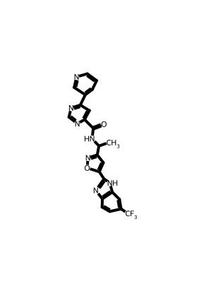 CC(NC(=O)c1cc(-c2cccnc2)ncn1)c1cc(-c2nc3ccc(C(F)(F)F)cc3[nH]2)on1